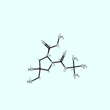 COC(=O)[C@@H]1CC(O)(CO)CN1C(=O)OC(C)(C)C